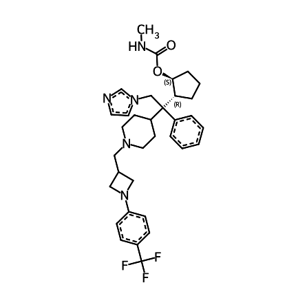 CNC(=O)O[C@H]1CCC[C@@H]1C(Cn1ccnc1)(c1ccccc1)C1CCN(CC2CN(c3ccc(C(F)(F)F)cc3)C2)CC1